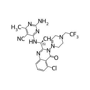 Cc1nc(N)nc(N[C@@H](C)c2nc3cccc(Cl)c3c(=O)n2N2CCN(CC(F)(F)F)CC2)c1C#N